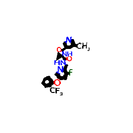 Cc1cncc(C(=O)NC2(C(=O)NCc3ncc(Oc4ccccc4C(F)(F)F)cc3F)CC2)c1